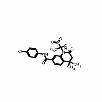 CC1(C)CC(=O)N(C(C)(C)P(=O)=O)c2cc(C(=O)Nc3ccc(Cl)cc3)ccc21